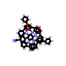 N#Cc1ccc(-c2c(-n3c4ccccc4c4ccccc43)c(-n3c4ccccc4c4cc(-c5ccccc5)ccc43)c(-n3c4ccccc4c4ccccc43)c(-n3c4ccccc4c4cc(-c5ccccc5)ccc43)c2-n2c3ccccc3c3ccccc32)cc1